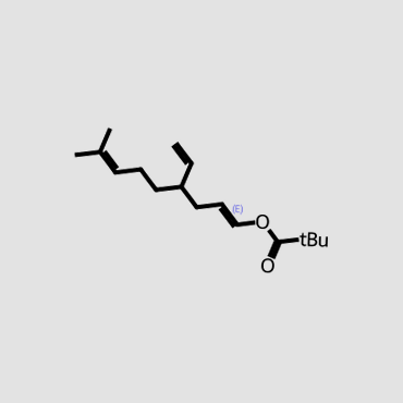 C=CC(C/C=C/OC(=O)C(C)(C)C)CCC=C(C)C